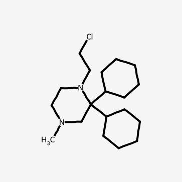 CN1CCN(CCCl)C(C2CCCCC2)(C2CCCCC2)C1